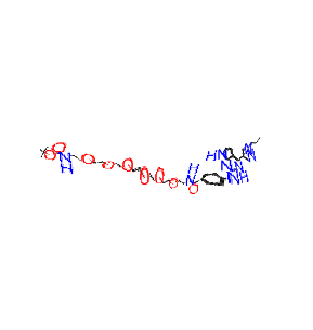 CCCn1cc(-c2nc(Nc3ccc(C(=O)NCCOCCOCCOCCOCCOCCOCCNC(=O)OC(C)(C)C)cc3)nc3[nH]ccc23)cn1